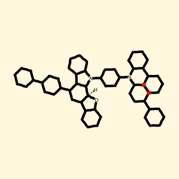 C1CCC(C2CCC(C3CC4C5CCCCC5O[C@@H]4C4C3C3CCCCC3N4C3CCC(N(C4CCC(C5CCCCC5)CC4)C4CCCCC4C4CCCCC4)CC3)CC2)CC1